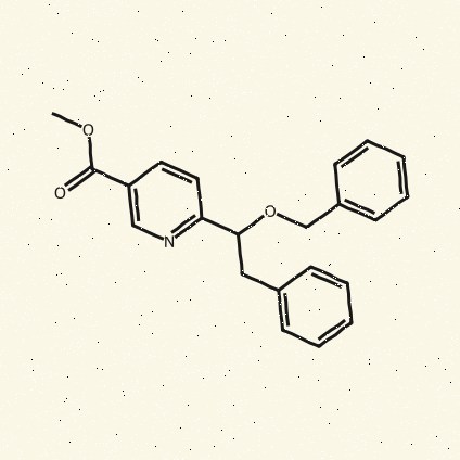 COC(=O)c1ccc(C(Cc2ccccc2)OCc2ccccc2)nc1